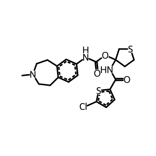 CN1CCc2ccc(NC(=O)OC3(NC(=O)c4ccc(Cl)s4)CCSC3)cc2CC1